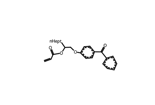 C=CC(=O)OC(CCCCCCC)COc1ccc(C(=O)c2ccccc2)cc1